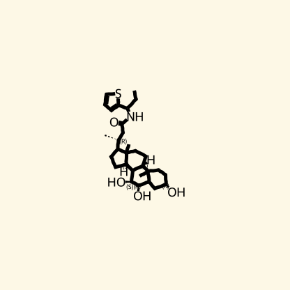 CCC(NC(=O)C[C@@H](C)C1CC[C@H]2C3[C@H](O)[C@H](O)C4C[C@H](O)CCC4(C)[C@H]3CCC12C)c1cccs1